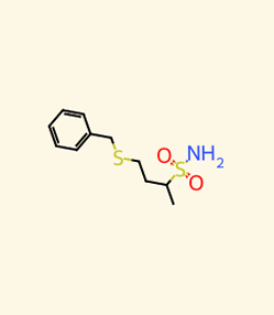 CC(CCSCc1ccccc1)S(N)(=O)=O